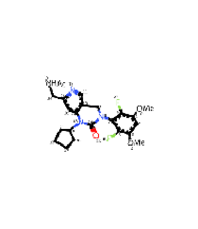 COc1cc(OC)c(F)c(N2Cc3cnc(CNC(C)=O)cc3N(C3CCCC3)C2=O)c1F